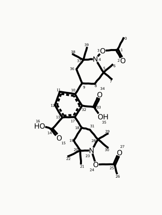 CC(=O)ON1C(C)(C)CC(c2ccc(C(=O)O)c(C3CC(C)(C)N(OC(C)=O)C(C)(C)C3)c2C(=O)O)CC1(C)C